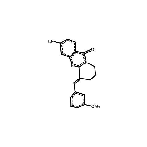 COc1cccc(/C=C2\CCCn3c2nc2cc(N)ccc2c3=O)c1